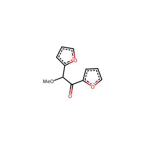 COC(C(=O)c1ccco1)c1ccco1